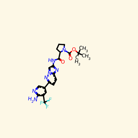 CC(C)(C)OC(=O)N1CCCC1C(=O)Nc1cn2nc(-c3cnc(N)c(C(F)(F)F)c3)ccc2n1